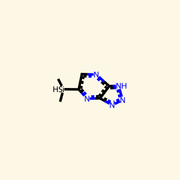 C[SiH](C)c1cnc2[nH]nnc2n1